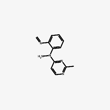 C=Nc1ccccc1N(N)c1ccnc(C)n1